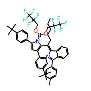 CCCCC/C(=C1/N=C(c2ccc(C)cc2)c2ccccc21)c1c(-c2ccc(C(C)(C)C)cc2)cc(-c2ccc(C(C)(C)C)cc2)n1B(OCC(F)(F)C(F)(F)F)OCC(F)(F)C(F)(F)F